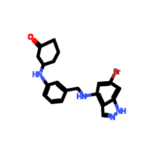 O=C1CCCC(Nc2cccc(CNc3cc(Br)cc4[nH]ncc34)c2)C1